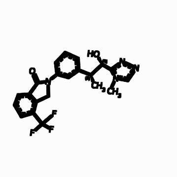 C[C@@H](c1cccc(N2Cc3c(cccc3C(F)(F)F)C2=O)c1)[C@@H](O)c1nncn1C